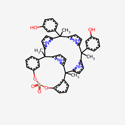 CC1(c2cccc(O)c2)c2ccc([nH]2)C(C)(c2cccc(O)c2)c2ccc([nH]2)C2(C)c3cccc(c3)OS(=O)(=O)Oc3cccc(c3)C(C)(c3ccc1[nH]3)c1ccc2[nH]1